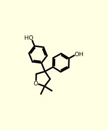 CC1(C)CC(c2ccc(O)cc2)(c2ccc(O)cc2)CO1